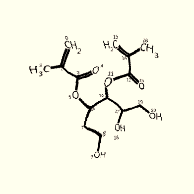 C=C(C)C(=O)OC(CCO)C(OC(=O)C(=C)C)C(O)CO